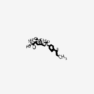 CC=C(F)c1ccc(N2CC(CC(C)(C(=O)NO)S(C)(=O)=O)OC2=O)cc1